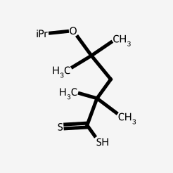 CC(C)OC(C)(C)CC(C)(C)C(=S)S